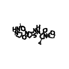 CC(=O)Nc1cc(Oc2cc3sc(Nc4cc(C5CC5)cn([C@H]5CCCOC5)c4=O)nc3cn2)ccn1